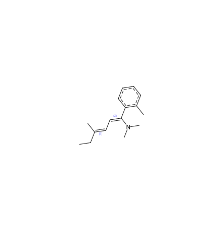 CC/C(C)=C/C=C(/c1ccccc1C)N(C)C